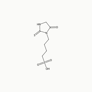 O=C1CNC(=S)N1CCCCS(=O)(=O)O